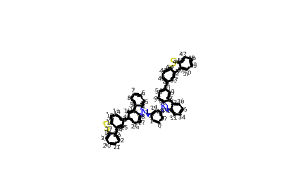 c1cc(-n2c3ccccc3c3cc(-c4ccc5sc6ccccc6c5c4)ccc32)cc(-n2c3ccccc3c3cc(-c4ccc5sc6ccccc6c5c4)ccc32)c1